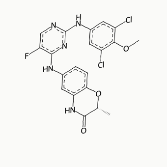 COc1c(Cl)cc(Nc2ncc(F)c(Nc3ccc4c(c3)NC(=O)[C@@H](C)O4)n2)cc1Cl